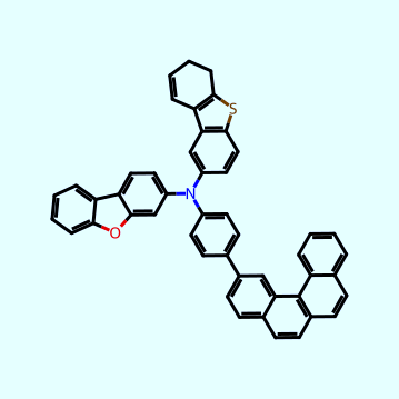 C1=Cc2c(sc3ccc(N(c4ccc(-c5ccc6ccc7ccc8ccccc8c7c6c5)cc4)c4ccc5c(c4)oc4ccccc45)cc23)CC1